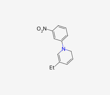 CCC1=CN(c2cccc([N+](=O)[O-])c2)CC=C1